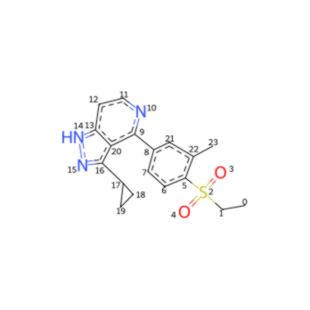 CCS(=O)(=O)c1ccc(-c2nccc3[nH]nc(C4CC4)c23)cc1C